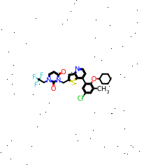 Cc1cc(Cl)cc(-c2ccnc3cc(Cn4c(=O)ccn(CC(F)(F)F)c4=O)sc23)c1OC1CCCCC1